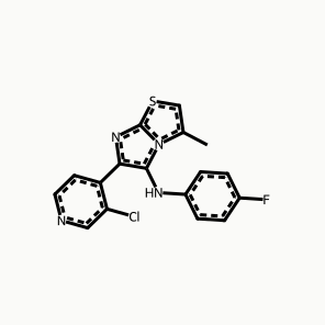 Cc1csc2nc(-c3ccncc3Cl)c(Nc3ccc(F)cc3)n12